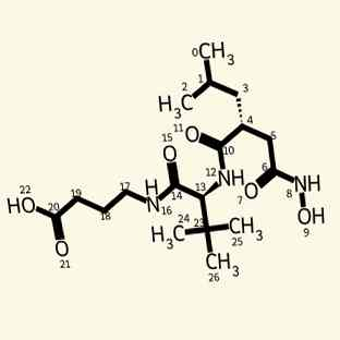 CC(C)C[C@H](CC(=O)NO)C(=O)N[C@H](C(=O)NCCCC(=O)O)C(C)(C)C